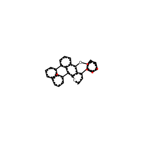 c1ccc(Oc2c3cccc(-c4ccccc4)c3c(-c3ccccc3)c3cccc(-c4ccccc4)c23)cc1